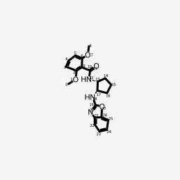 COc1cccc(OC)c1C(=O)N[C@@H]1CCC[C@@H]1Nc1nc2ccccc2o1